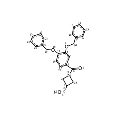 O=C(O)C1CN(C(=O)c2cc(OCc3ccccc3)c(OCc3ccccc3)cn2)C1